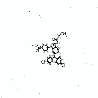 CCOC(=O)Cn1nc(C2CCN(C(=O)O)CC2)c2cc(C(c3ccc(Cl)cc3)c3ccc(Cl)cc3)ccc21